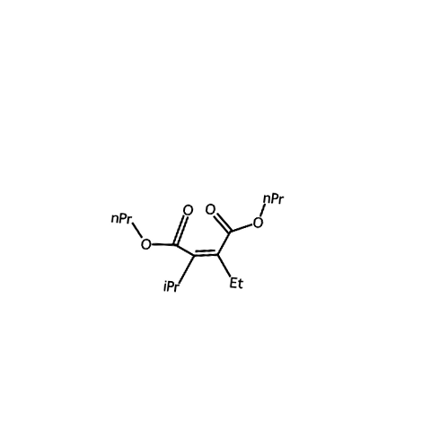 CCCOC(=O)/C(CC)=C(\C(=O)OCCC)C(C)C